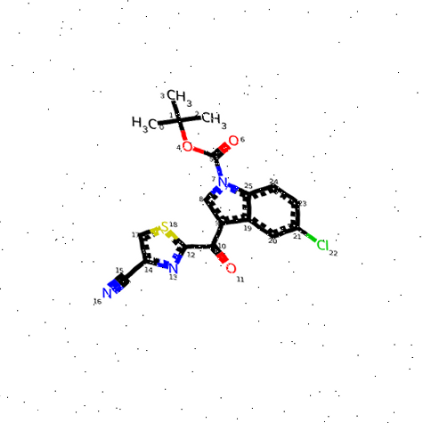 CC(C)(C)OC(=O)n1cc(C(=O)c2nc(C#N)cs2)c2cc(Cl)ccc21